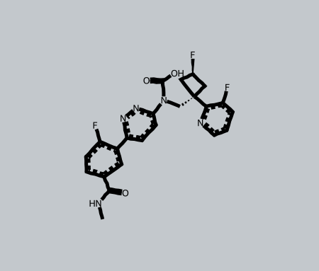 CNC(=O)c1ccc(F)c(-c2ccc(N(C[C@]3(c4ncccc4F)C[C@@H](F)C3)C(=O)O)nn2)c1